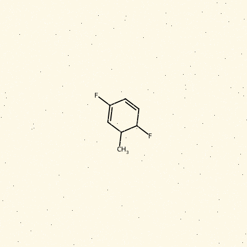 CC1C=C(F)C=CC1F